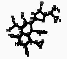 COC1c2c(c(=O)[nH]c(=O)n2C2CC2)C(C(F)F)=C(F)C1N1CC(F)C(C(N)C(F)(F)F)C1